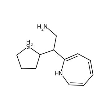 NCC(C1=CC=CC=CN1)C1CCC[SiH2]1